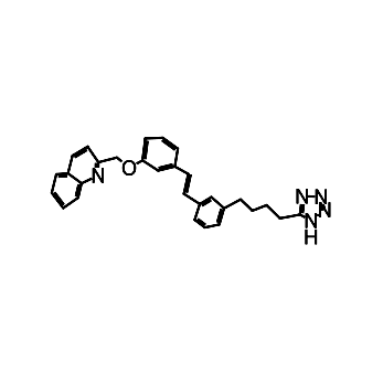 C(=Cc1cccc(OCc2ccc3ccccc3n2)c1)c1cccc(CCCCc2nnn[nH]2)c1